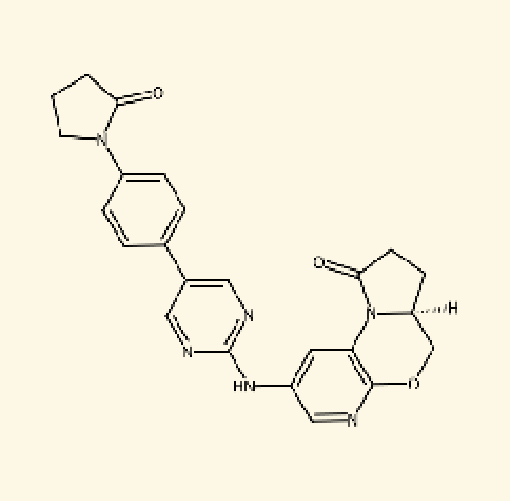 O=C1CCCN1c1ccc(-c2cnc(Nc3cnc4c(c3)N3C(=O)CC[C@H]3CO4)nc2)cc1